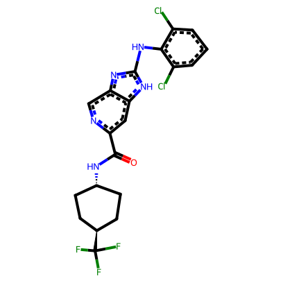 O=C(N[C@H]1CC[C@H](C(F)(F)F)CC1)c1cc2[nH]c(Nc3c(Cl)cccc3Cl)nc2cn1